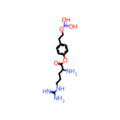 N=C(N)NCCCC(N)C(=O)Oc1ccc(CCON(O)O)cc1